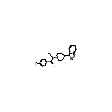 CCC(C(=O)c1ccc(F)cc1)N1CCC(c2noc3ccccc23)CC1